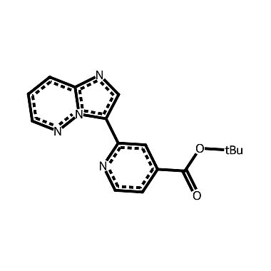 CC(C)(C)OC(=O)c1ccnc(-c2cnc3cccnn23)c1